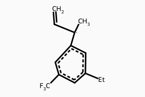 C=C[C](C)c1cc(CC)cc(C(F)(F)F)c1